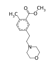 COC(=O)c1cc(CCN2CCOCC2)ccc1C